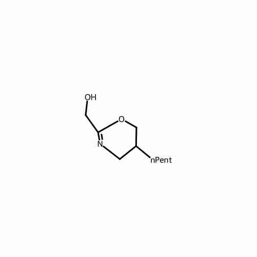 CCCCCC1CN=C(CO)OC1